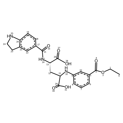 CCOC(=O)c1cccc(NC(C[C@H](NC(=O)c2ccc3c(c2)CCN3)C(=O)O)C(=O)O)c1